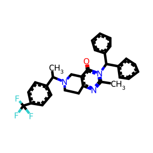 Cc1nc2c(c(=O)n1C(c1ccccc1)c1ccccc1)CN(C(C)c1ccc(C(F)(F)F)cc1)CC2